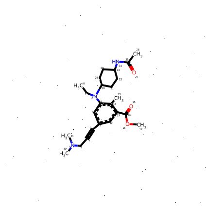 CCN(c1cc(C#CCN(C)C)cc(C(=O)OC)c1C)C1CCC(NC(C)=O)CC1